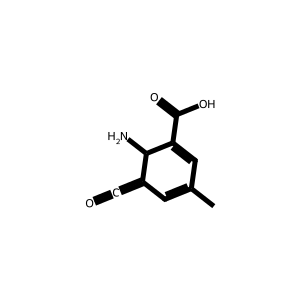 CC1=CC(=C=O)C(N)C(C(=O)O)=C1